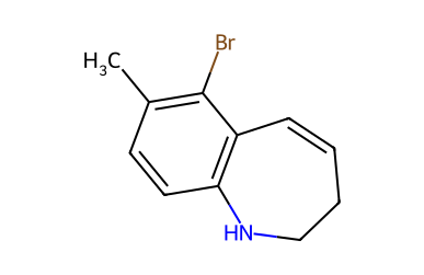 Cc1ccc2c(c1Br)C=CCCN2